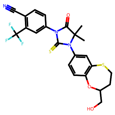 CC1(C)C(=O)N(c2ccc(C#N)c(C(F)(F)F)c2)C(=S)N1c1ccc2c(c1)SCCC(CO)O2